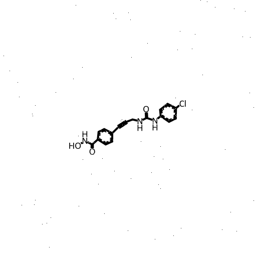 O=C(NCC#Cc1ccc(C(=O)NO)cc1)Nc1ccc(Cl)cc1